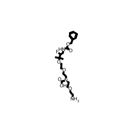 CC(C)(OCCOCCN(CCOCCN)C(=O)O)C(F)CNC(=O)OCc1ccccc1